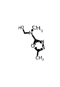 Cc1nnc(N(C)CO)o1